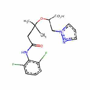 CC(C)(CC(=O)Nc1c(F)cccc1F)OC(Cn1cccn1)C(=O)O